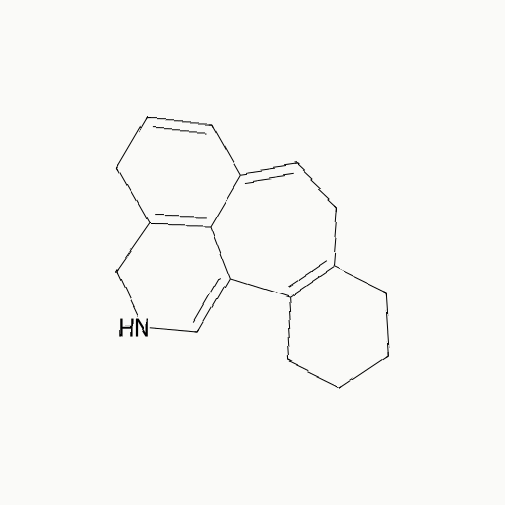 C1=CC2=CCC3=C(CCCC3)C3=CNCC(=C23)C1